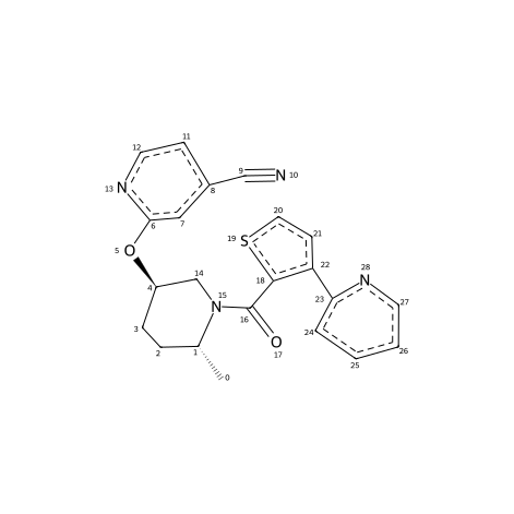 C[C@@H]1CC[C@@H](Oc2cc(C#N)ccn2)CN1C(=O)c1sccc1-c1ccccn1